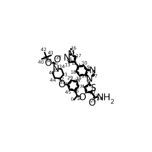 CC(Oc1cc(-n2cnc3cc(-c4cnn(C)c4)ccc32)sc1C(N)=O)c1cccc(OC2CCN(C(=O)OC(C)(C)C)CC2)c1